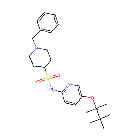 CC(C)(C)[Si](C)(C)Oc1ccc(NS(=O)(=O)C2CCN(Cc3ccccc3)CC2)nc1